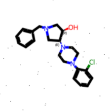 O[C@@H]1CN(Cc2ccccc2)C[C@H]1N1CCN(c2ccccc2Cl)CC1